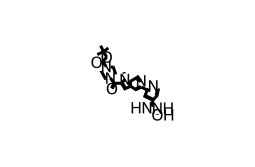 Cn1c(C(=O)N2CCN(C(=O)OC(C)(C)C)CC2)cc2cc(-c3cc(C(=N)NO)ccn3)ncc21